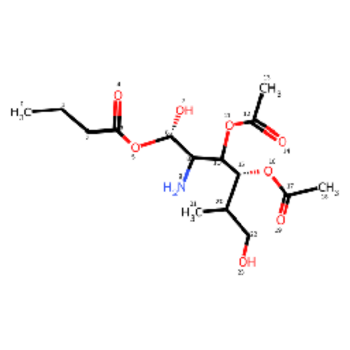 CCCC(=O)O[C@H](O)C(N)C(OC(C)=O)[C@H](OC(C)=O)C(C)CO